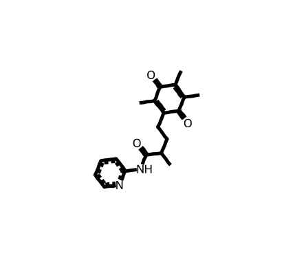 CC1=C(C)C(=O)C(CCC(C)C(=O)Nc2ccccn2)=C(C)C1=O